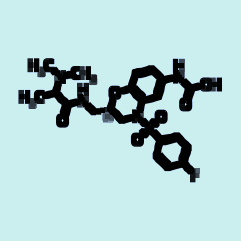 CC(C(=O)NC[C@H]1CN(S(=O)(=O)c2ccc(F)cc2)c2cc(NC(=O)O)ccc2O1)N(C)C